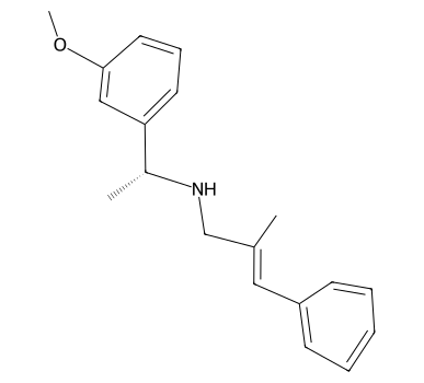 COc1cccc([C@@H](C)NC/C(C)=C/c2ccccc2)c1